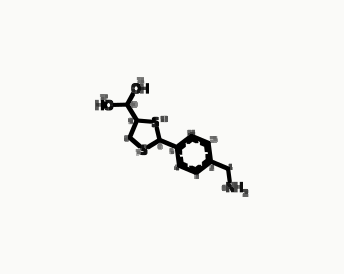 NCc1ccc(C2SCC(C(O)O)S2)cc1